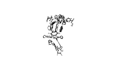 CCN1CCCC1CNC(=O)c1cc(N(S(C)(=O)=O)S(C)(=O)=O)c(Cl)cc1OC